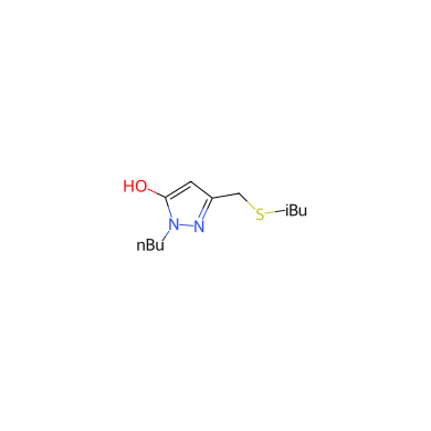 CCCCn1nc(CSC(C)CC)cc1O